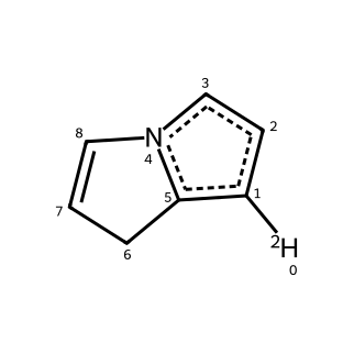 [2H]c1ccn2c1CC=C2